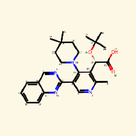 Cc1ncc(-c2ncc3ccccc3n2)c(N2CCC(C)(C)CC2)c1[C@H](OC(C)(C)C)C(=O)O